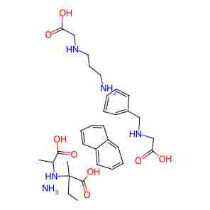 CCC(C)(NC(C)C(=O)O)C(=O)O.N.NCCCNCC(=O)O.O=C(O)CNCc1ccccc1.c1ccc2ccccc2c1